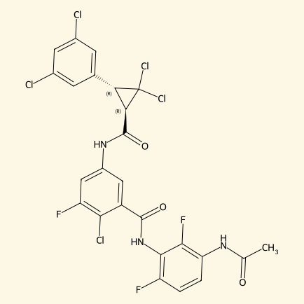 CC(=O)Nc1ccc(F)c(NC(=O)c2cc(NC(=O)[C@H]3[C@H](c4cc(Cl)cc(Cl)c4)C3(Cl)Cl)cc(F)c2Cl)c1F